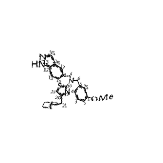 COc1cccc(CN(Cc2ccc3[nH]ncc3c2)c2nc(CCl)cs2)c1